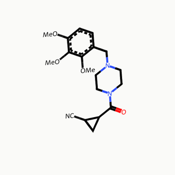 COc1ccc(CN2CCN(C(=O)C3CC3C#N)CC2)c(OC)c1OC